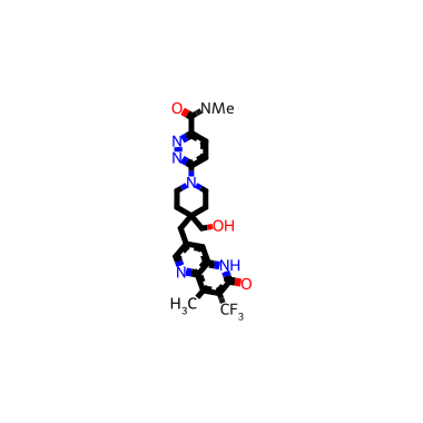 CNC(=O)c1ccc(N2CCC(CO)(Cc3cnc4c(C)c(C(F)(F)F)c(=O)[nH]c4c3)CC2)nn1